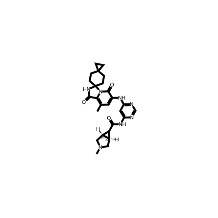 Cc1cc(Nc2cc(NC(=O)C3[C@H]4CN(C)C[C@@H]34)ncn2)c(=O)n2c1C(=O)NC21CCC2(CC2)CC1